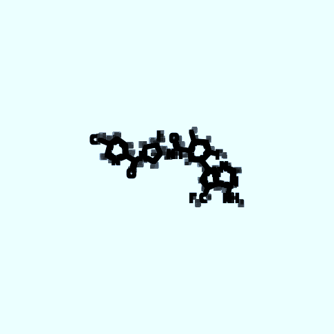 Cc1cc(F)c(-c2cc(C(F)(F)F)c3c(N)ncnn23)cc1C(=O)N[C@@H]1CN(C(=O)c2ccc(Cl)cn2)C[C@@H]1F